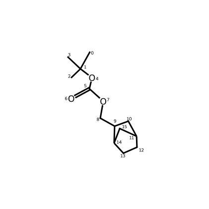 CC(C)(C)OC(=O)OCC1CC2CCC1C2